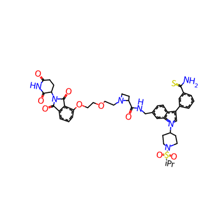 CC(C)S(=O)(=O)N1CCC(n2cc(-c3cccc(C(N)=S)c3)c3ccc(CNC(=O)C4CCN4CCOCCOc4cccc5c4C(=O)N(C4CCC(=O)NC4=O)C5=O)cc32)CC1